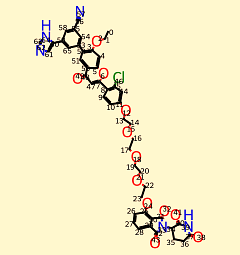 CCOc1cc2oc(-c3ccc(OCCOCCOCCOCCOc4cccc5c4C(=O)N(C4CCC(=O)NC4=O)C5=O)cc3Cl)cc(=O)c2cc1-c1cc(C#N)cc(-c2cnc[nH]2)c1